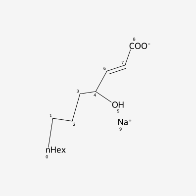 CCCCCCCCCC(O)C=CC(=O)[O-].[Na+]